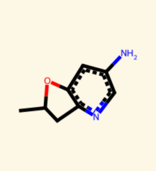 CC1Cc2ncc(N)cc2O1